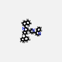 c1ccc2c(-c3ccc4nc(-c5cccc6ccccc56)cc(-c5ccc(-c6ccnc7ccccc67)nc5)c4c3)cccc2c1